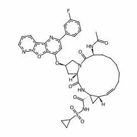 CC(=O)N[C@H]1CCCCC/C=C\[C@@H]2C[C@@]2(C(=O)NS(=O)(=O)C2CC2)NC(=O)[C@@H]2C[C@@H](Oc3cc(-c4cccc(F)c4)nc4c3oc3ncccc34)CN2C1=O